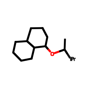 CC(C)C(C)OC1CCCC2CCCCC21